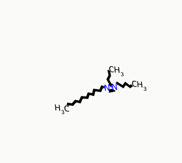 CCCCCCCCCCCC[n+]1ccn(CCCCC)c1CCCC